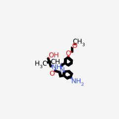 COCCOc1cccc(Cn2c(C(=O)NCC(C)(C)CO)cc3cc(N)ccc32)c1